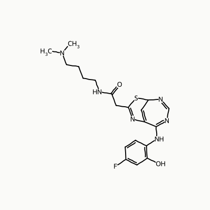 CN(C)CCCCNC(=O)CC1=NC2=CC(N=CN=C2Nc2ccc(F)cc2O)S1